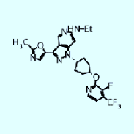 CCNc1cc2c(cn1)c(-c1cnc(C)o1)nn2[C@H]1CC[C@@H](Oc2nccc(C(F)(F)F)c2F)CC1